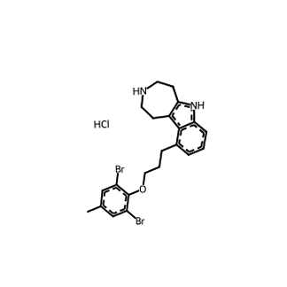 Cc1cc(Br)c(OCCCc2cccc3[nH]c4c(c23)CCNCC4)c(Br)c1.Cl